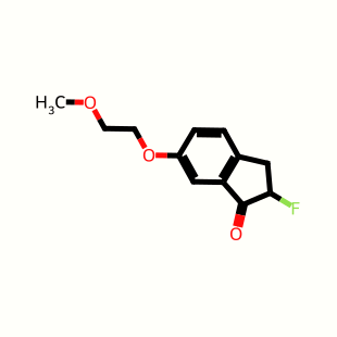 COCCOc1ccc2c(c1)C(=O)C(F)C2